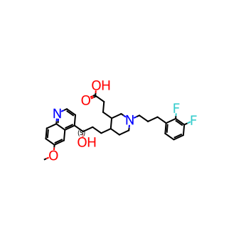 COc1ccc2nccc([C@@H](O)CCC3CCN(CCCc4cccc(F)c4F)CC3CCC(=O)O)c2c1